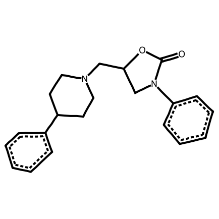 O=C1OC(CN2CCC(c3ccccc3)CC2)CN1c1ccccc1